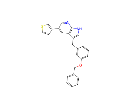 c1ccc(COc2cccc(Cc3c[nH]c4ncc(-c5ccsc5)cc34)c2)cc1